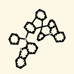 c1ccc(N(c2ccc3c(c2)C2(c4ccccc4-3)c3ccccc3-n3c4ccccc4c4cccc2c43)c2cccc3c2sc2ccccc23)cc1